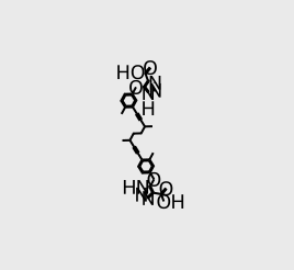 Cc1cc(Oc2[nH]nnc2C(=O)O)ccc1C#CC(C)CCC(C)C#Cc1cc(Oc2[nH]nnc2C(=O)O)ccc1C